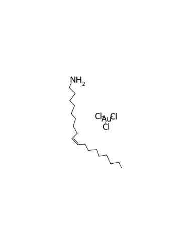 CCCCCCCC/C=C\CCCCCCCCN.[Cl][Au]([Cl])[Cl]